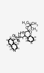 CC(C)(C)OC(=O)NC(CNS(=O)(=O)c1cccc2cnccc12)c1ccccc1